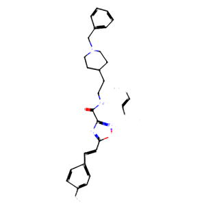 N#Cc1ccc(/C=C/c2nc(C(=O)NCCC3CCN(Cc4ccccc4)CC3)no2)cc1.O=C(O)/C=C/C(=O)O